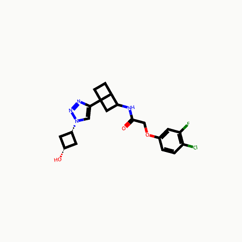 O=C(COc1ccc(Cl)c(F)c1)NC1CC2(c3cn([C@H]4C[C@@H](O)C4)nn3)CCC12